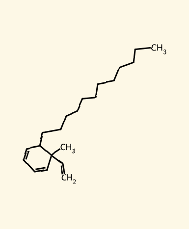 C=CC1(C)C=CC=CC1CCCCCCCCCCCC